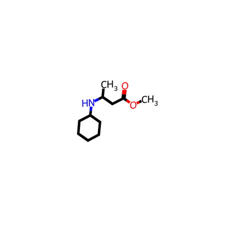 COC(=O)CC(C)NC1CCCCC1